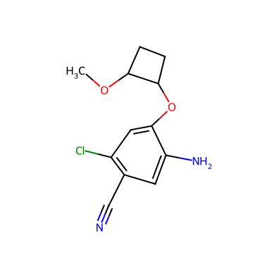 COC1CCC1Oc1cc(Cl)c(C#N)cc1N